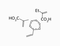 C=C(C)C(=O)O.C=C(CC)C(=O)O.C=Cc1ccccc1